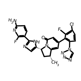 C[C@@H]1C[C@H](c2cnc(-c3ccc(N)nc3F)[nH]2)n2c1cc(-c1c(-n3cnnn3)ccc(Cl)c1F)cc2=O